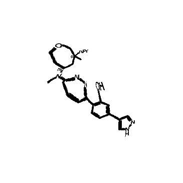 CCC[C@]1(C)COCC[C@@H](N(C)c2ccc(-c3ccc(-c4cn[nH]c4)cc3O)nn2)C1